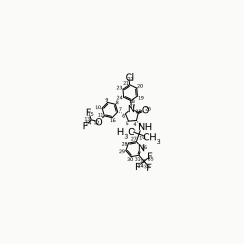 CC(C)(N[C@@H]1C[C@H](c2cccc(OC(F)F)c2)N(c2ccc(Cl)cc2)C1=O)c1cccc(C(F)(F)F)n1